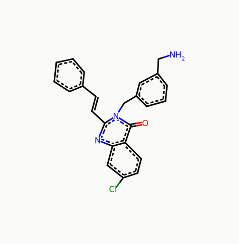 NCc1cccc(Cn2c(C=Cc3ccccc3)nc3cc(Cl)ccc3c2=O)c1